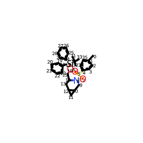 Cc1ccc(S(=O)(=O)N2CC3CC3CC2CO[Si](c2ccccc2)(c2ccccc2)C(C)(C)C)cc1